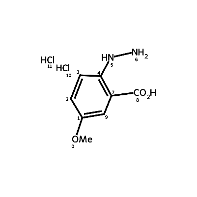 COc1ccc(NN)c(C(=O)O)c1.Cl.Cl